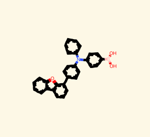 OB(O)c1ccc(N(c2ccccc2)c2ccc(-c3cccc4c3oc3ccccc34)cc2)cc1